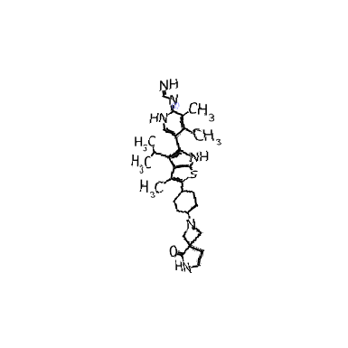 Cc1c(-c2[nH]c3sc(C4CCC(N5CC6(CCNC6=O)C5)CC4)c(C)c3c2C(C)C)c[nH]/c(=N\C=N)c1C